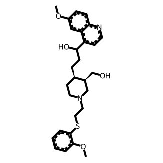 COc1ccc2nccc(C(O)CC[C@@H]3CCN(CCSc4ccccc4OC)C[C@@H]3CO)c2c1